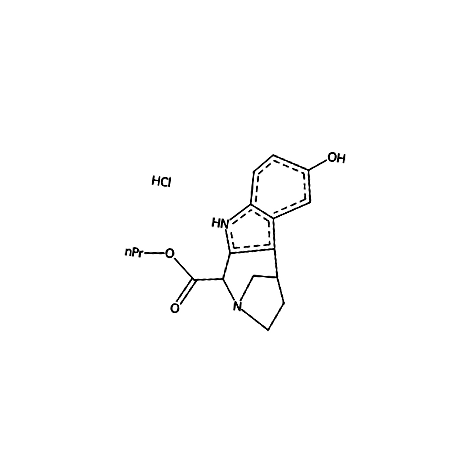 CCCOC(=O)C1c2[nH]c3ccc(O)cc3c2C2CCN1C2.Cl